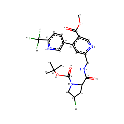 COC(=O)c1cnc(CNC(=O)C2CC(F)CN2C(=O)OC(C)(C)C)cc1-c1ccc(C(F)(F)F)nc1